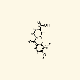 COc1ccc(C(=O)C2CCN(C(=O)O)CC2)cc1OC